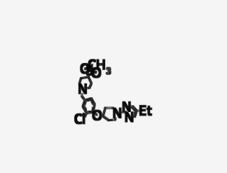 CCc1cnc(N2CCC(Oc3ccc(CN4CCC(S(C)(=O)=O)CC4)cc3Cl)CC2)nc1